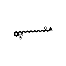 O=C(CCCCCCCCCCCCCCc1ccccc1[N+](=O)[O-])CC1CC1